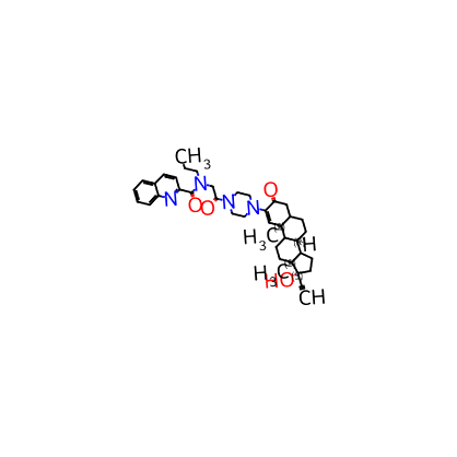 C#C[C@]1(O)CCC2[C@@H]3CCC4CC(=O)C(N5CCN(C(=O)CN(CCC)C(=O)c6ccc7ccccc7n6)CC5)=C[C@]4(C)C3CC[C@@]21C